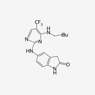 CCC(C)CNc1nc(Nc2ccc3c(c2)CC(=O)N3)ncc1C(F)(F)F